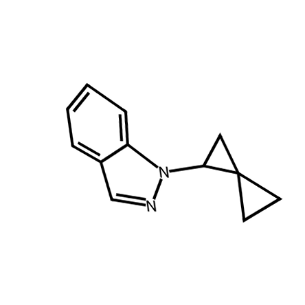 c1ccc2c(c1)cnn2C1CC12CC2